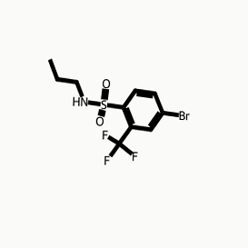 CCCNS(=O)(=O)c1ccc(Br)cc1C(F)(F)F